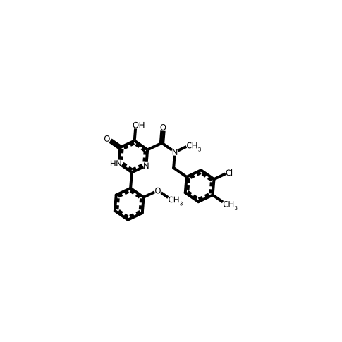 COc1ccccc1-c1nc(C(=O)N(C)Cc2ccc(C)c(Cl)c2)c(O)c(=O)[nH]1